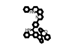 C1=CC(c2ccccc2)Nc2c1ccc1ccc(-c3ccc(C4Nc5ccccc5-c5cc6c(cc54)C4(c5ccccc5Oc5ccccc54)c4ccccc4-6)cc3)nc21